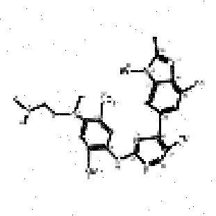 COc1cc(N(C)CCN(C)C)c([N+](=O)[O-])cc1Nc1ncc(C#N)c(-c2cc(F)c3nc(C)n(C(C)C)c3c2)n1